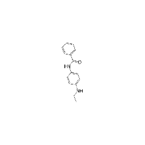 CCNc1ccc(NC(=O)c2ccccc2)cc1